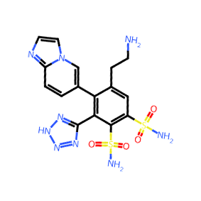 NCCc1cc(S(N)(=O)=O)c(S(N)(=O)=O)c(-c2nn[nH]n2)c1-c1ccc2nccn2c1